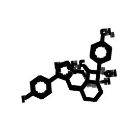 Cc1ccc([C@]2(O)C(C)[C@]34Cn5cnc(-c6ccc(F)cc6)c5C=C3CCC[C@@H]42)cc1